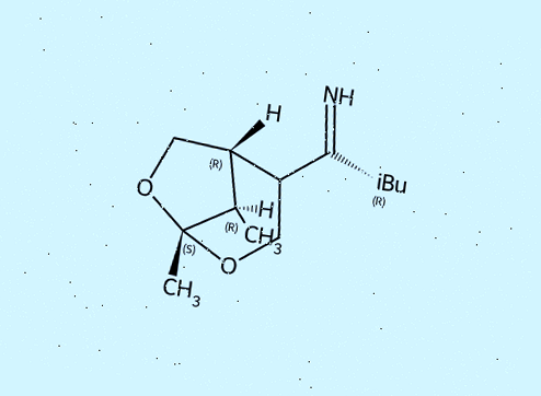 CC[C@@H](C)C(=N)C1CO[C@]2(C)OC[C@H]1[C@H]2C